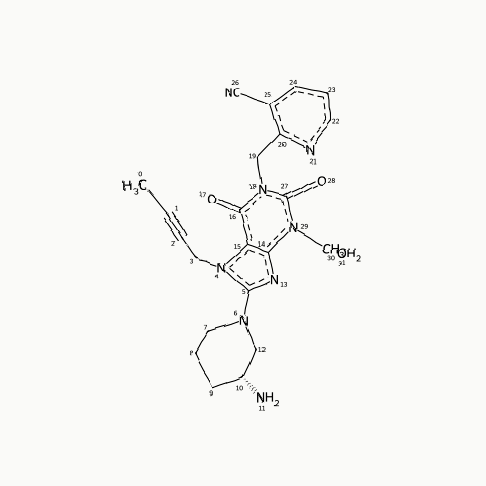 CC#CCn1c(N2CCC[C@@H](N)C2)nc2c1c(=O)n(Cc1ncccc1C#N)c(=O)n2C.O